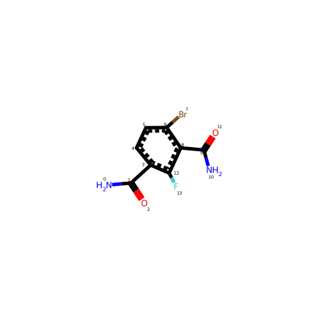 NC(=O)c1ccc(Br)c(C(N)=O)c1F